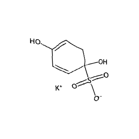 O=S(=O)([O-])C1(O)C=CC(O)=CC1.[K+]